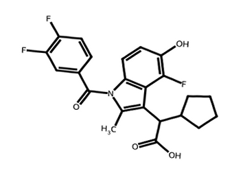 Cc1c(C(C(=O)O)C2CCCC2)c2c(F)c(O)ccc2n1C(=O)c1ccc(F)c(F)c1